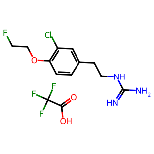 N=C(N)NCCc1ccc(OCCF)c(Cl)c1.O=C(O)C(F)(F)F